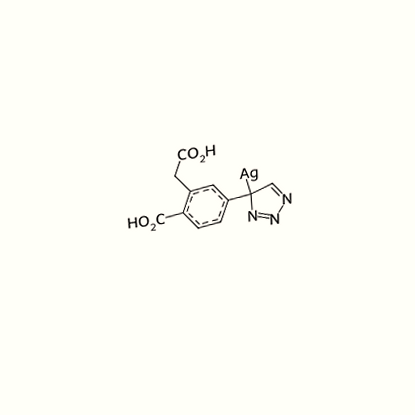 O=C(O)Cc1cc([C]2([Ag])C=NN=N2)ccc1C(=O)O